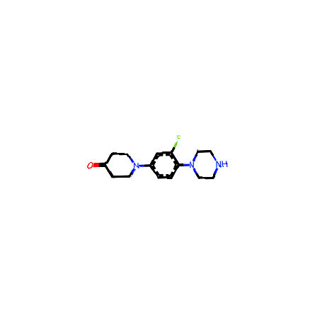 O=C1CCN(c2ccc(N3CCNCC3)c(F)c2)CC1